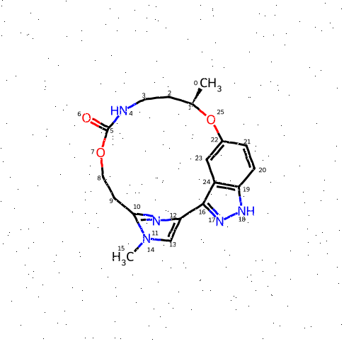 C[C@@H]1CCNC(=O)OCCc2nc(cn2C)-c2n[nH]c3ccc(cc23)O1